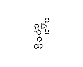 c1ccc(-c2nc(-c3ccccc3)nc(-c3cccc4oc5cc(-c6ccc(-c7cccc8ccccc78)cc6)ccc5c34)n2)cc1